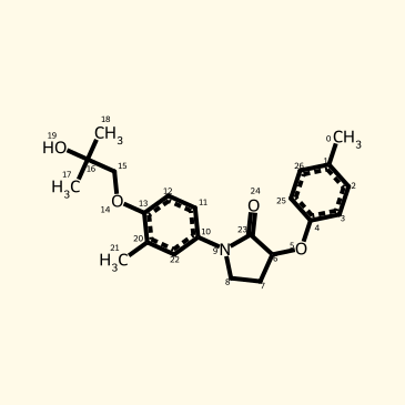 Cc1ccc(OC2CCN(c3ccc(OCC(C)(C)O)c(C)c3)C2=O)cc1